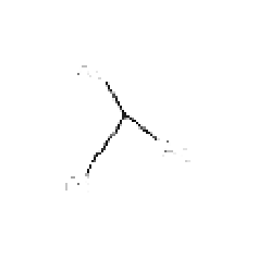 CC(=O)[CH]([Fe])C(C)=O